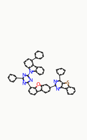 c1ccc(-c2nc(-c3cccc4c3oc3cc(-c5nc(-c6ccccc6)c6sc7ccccc7c6n5)ccc34)nc(-n3c4ccccc4c4c(-c5ccccc5)cccc43)n2)cc1